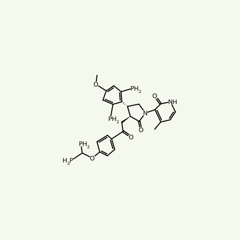 COc1cc(P)c([C@@H]2CN(c3c(C)cc[nH]c3=O)C(=O)[C@H]2CC(=O)c2ccc(OC(P)P)cc2)c(P)c1